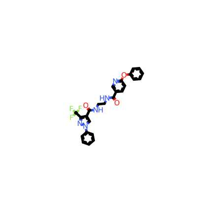 O=C(NCCNC(=O)c1cn(-c2ccccc2)nc1C(F)(F)F)c1ccc(Oc2ccccc2)nc1